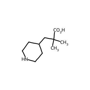 CC(C)(CC1CCNCC1)C(=O)O